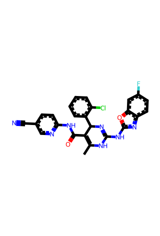 CC1=C(C(=O)Nc2ccc(C#N)cn2)C(c2ccccc2Cl)N=C(Nc2nc3ccc(F)cc3o2)N1